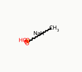 CCCCCCCCCCCCCCCCCCS(=O)(=O)OO.[NaH]